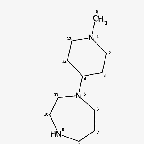 CN1CCC(N2CCCNCC2)CC1